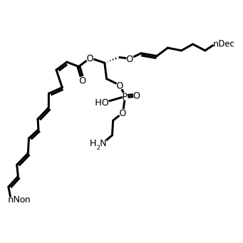 CCCCCCCCCC=CC=CC=CC=CC=C/C=C\C(=O)O[C@H](COC=CCCCCCCCCCCCCCC)COP(=O)(O)OCCN